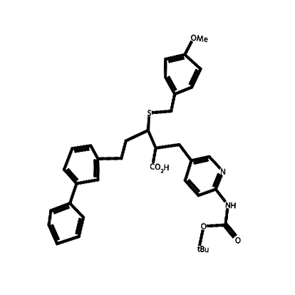 COc1ccc(CSC(CCc2cccc(-c3ccccc3)c2)C(Cc2ccc(NC(=O)OC(C)(C)C)nc2)C(=O)O)cc1